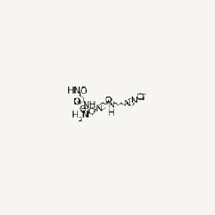 CNC(=O)CCC(C=O)NC(=O)c1cc(N2CCC(C(=O)NCCCCN3CCN(c4ccc(C)cc4)CC3)CC2)ccc1N